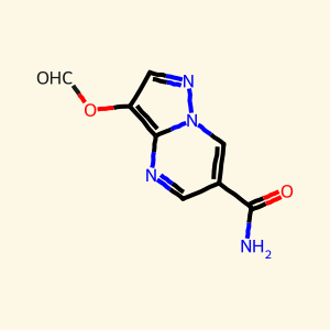 NC(=O)c1cnc2c(OC=O)cnn2c1